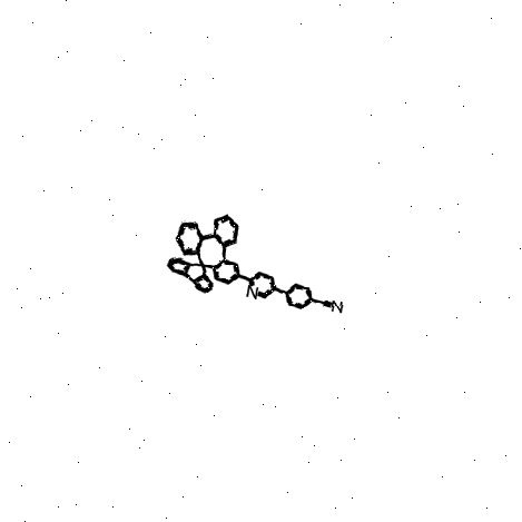 N#Cc1ccc(-c2ccc(-c3ccc4c(c3)-c3ccccc3-c3ccccc3C43c4ccccc4-c4ccccc43)nc2)cc1